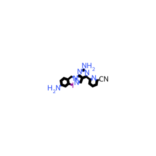 N#Cc1cccc(-c2nc(N)nc3c2cnn3Cc2ccc(N)cc2I)n1